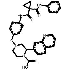 O=C(O)N1CCN(Oc2ccc(NC(=O)C3(C(=O)Nc4ccccc4)CC3)cc2)CC1c1ccc2cccnc2c1